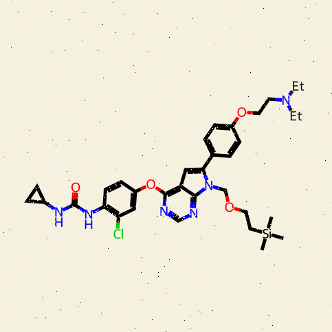 CCN(CC)CCOc1ccc(-c2cc3c(Oc4ccc(NC(=O)NC5CC5)c(Cl)c4)ncnc3n2COCC[Si](C)(C)C)cc1